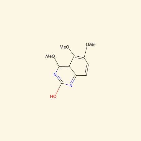 COc1ccc2nc(O)nc(OC)c2c1OC